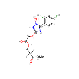 COC(=O)C(C)(C)COC(=O)COc1nc(-c2ccc(F)cc2F)n(O)n1